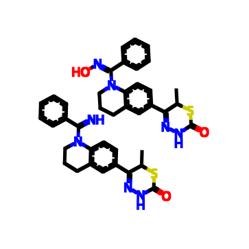 CC1SC(=O)NN=C1c1ccc2c(c1)CCCN2/C(=N\O)c1ccccc1.CC1SC(=O)NN=C1c1ccc2c(c1)CCCN2C(=N)c1ccccc1